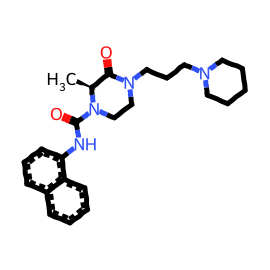 C[C@H]1C(=O)N(CCCN2CCCCC2)CCN1C(=O)Nc1cccc2ccccc12